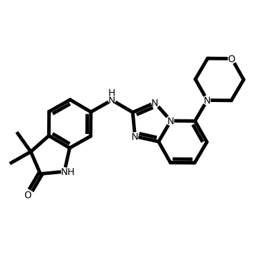 CC1(C)C(=O)Nc2cc(Nc3nc4cccc(N5CCOCC5)n4n3)ccc21